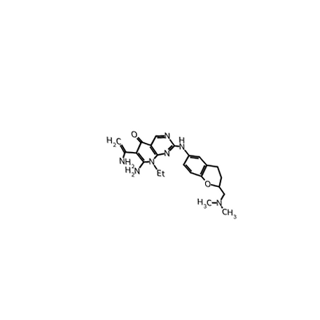 C=C(N)c1c(N)n(CC)c2nc(Nc3ccc4c(c3)CCC(CN(C)C)O4)ncc2c1=O